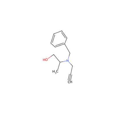 C#CCN(Cc1ccccc1)C(C)CO